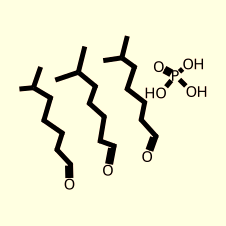 CC(C)CCCCC=O.CC(C)CCCCC=O.CC(C)CCCCC=O.O=P(O)(O)O